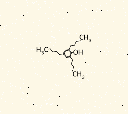 CCCCCc1cc(CCCCC)c(O)c(CCCCC)c1